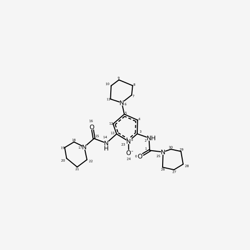 O=C(Nc1cc(N2CCCCC2)cc(NC(=O)N2CCCCC2)[n+]1[O-])N1CCCCC1